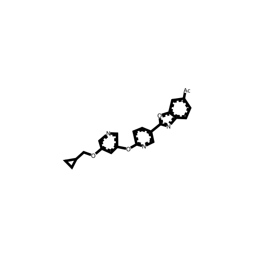 CC(=O)c1ccc2nc(-c3ccc(Oc4cncc(OCC5CC5)c4)nc3)oc2c1